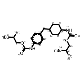 CCCCC(CC)COC(=O)Nc1ccc(CC2CCC(NC(=O)OCC(CC)CCCC)CC2)cc1